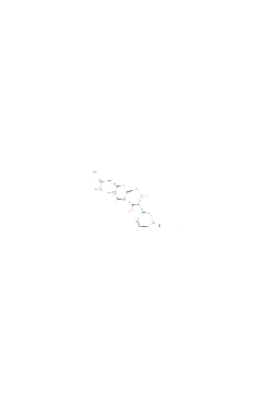 Cc1ccc2oc3c4cc5cc(C)c(C)cc5cc4ccc3c2c1